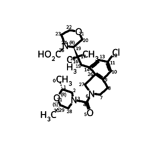 C[C@@H]1CN(C(=O)N2CCc3cc(Cl)cc(CC(C)(C)[C@@H]4COCCN4C(=O)O)c3C2)C[C@H](C)O1